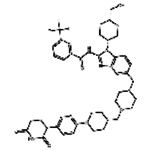 O=C1CC[C@@H](c2ccc(N3CCC(CN4CCN(Cc5ccc6c(c5)nc(NC(=O)c5cccc(C(F)(F)F)c5)n6[C@H]5CC[C@@H](CO)CC5)CC4)CC3)nc2)C(=O)N1